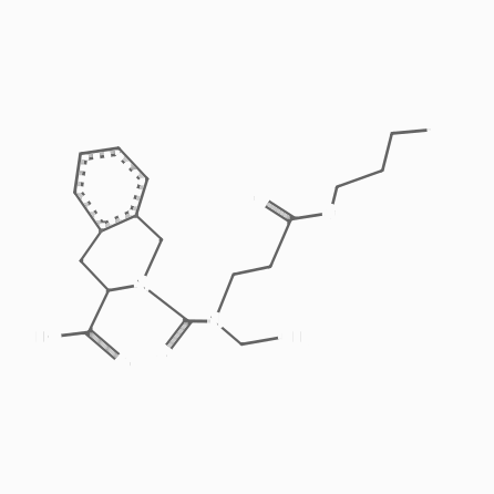 CCCCOC(=O)CCN(CC)C(=O)N1Cc2ccccc2CC1C(=O)O